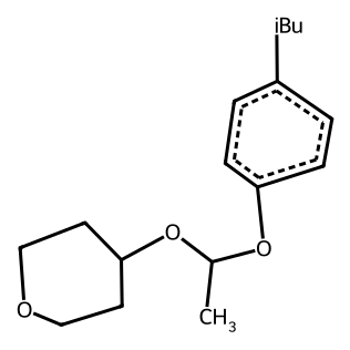 CCC(C)c1ccc(OC(C)OC2CCOCC2)cc1